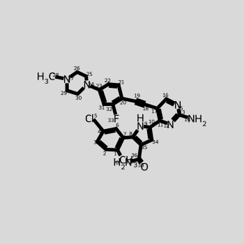 Cc1ccc(Cl)cc1-c1[nH]c(-c2nc(N)ncc2C#Cc2ccc(N3CCN(C)CC3)cc2F)cc1C(N)=O